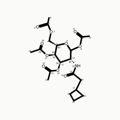 CC(=O)OC[C@H]1OC(OC(C)=O)[C@H](NC(=O)CC2CCC2)[C@@H](OC(C)=O)[C@H]1OC(C)=O